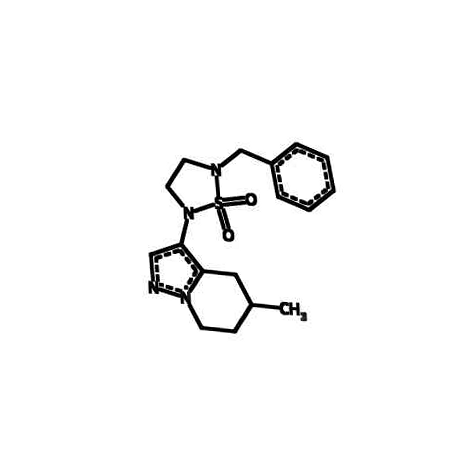 CC1CCn2ncc(N3CCN(Cc4ccccc4)S3(=O)=O)c2C1